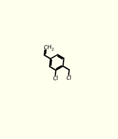 C=Cc1ccc(CCl)c(Cl)c1